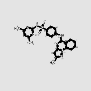 Cc1cc(C)nc(NS(=O)(=O)c2ccc(Nc3nc4cc(C)nn4c4ccccc34)cc2)n1